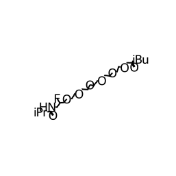 CCC(C)C(=O)COCCOCCOCCOCCOCCOCC(F)CNC(=O)C(C)C